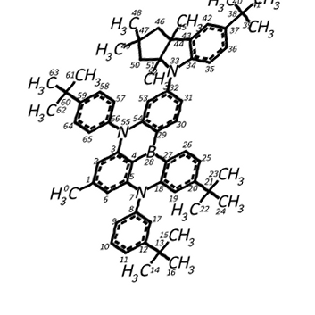 Cc1cc2c3c(c1)N(c1cccc(C(C)(C)C)c1)c1cc(C(C)(C)C)ccc1B3c1ccc(N3c4ccc(C(C)(C)C)cc4C4(C)CC(C)(C)CC34C)cc1N2c1ccc(C(C)(C)C)cc1